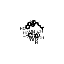 CC(C)CCC[C@@H](C)[C@H]1CC[C@H]2[C@@H]3CC=C4C[C@@H](O)CC[C@]4(C)[C@H]3CC[C@]12C.OC[C@H]1O[C@@H](O[C@H]2[C@H](O)[C@@H](O)[C@H](O)O[C@@H]2CO)[C@H](O)[C@@H](O)[C@H]1O